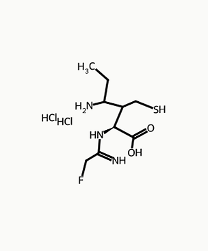 CCC(N)C(CS)[C@H](NC(=N)CF)C(=O)O.Cl.Cl